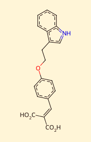 O=C(O)C(=Cc1ccc(OCCc2c[nH]c3ccccc23)cc1)C(=O)O